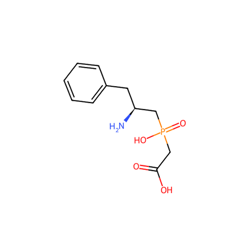 N[C@@H](Cc1ccccc1)CP(=O)(O)CC(=O)O